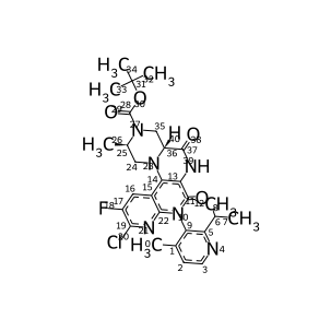 Cc1ccnc(C(C)C)c1-n1c(=O)c2c(c3cc(F)c(Cl)nc31)N1C[C@@H](C)N(C(=O)OC(C)(C)C)C[C@@H]1C(=O)N2